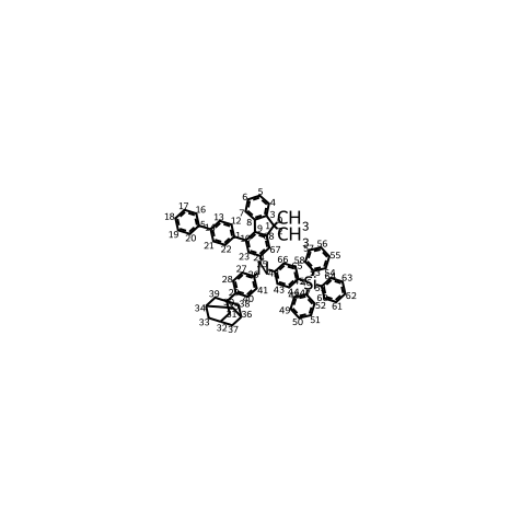 CC1(C)c2ccccc2-c2c(-c3ccc(-c4ccccc4)cc3)cc(N(c3ccc(C45CC6CC(CC(C6)C4)C5)cc3)c3ccc([Si](c4ccccc4)(c4ccccc4)c4ccccc4)cc3)cc21